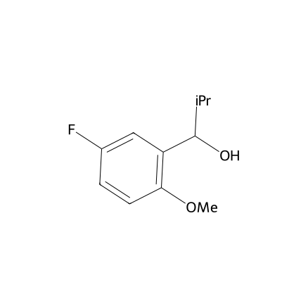 COc1ccc(F)cc1C(O)C(C)C